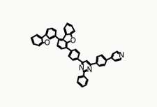 c1ccc(-c2nc(-c3ccc(-c4ccncc4)cc3)cc(-c3ccc(-c4ccc(-c5cccc6c5oc5ccccc56)c5c4oc4ccccc45)cc3)n2)cc1